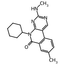 CNc1ncc2c3ccc(C)cc3c(=O)n(C3CCCCC3)c2n1